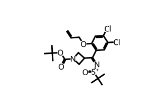 C=CCOc1cc(Cl)c(Cl)cc1C(=N[S+]([O-])C(C)(C)C)C1CN(C(=O)OC(C)(C)C)C1